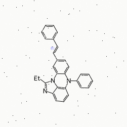 CCc1nc2cccc3c2n1-c1cc(/C=C/c2ccccc2)ccc1N3c1ccccc1